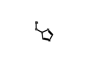 CCOn1cncn1